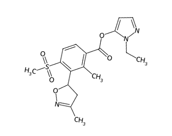 CCn1nccc1OC(=O)c1ccc(S(C)(=O)=O)c(C2CC(C)=NO2)c1C